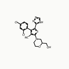 N#Cc1c(N2CCOC(CO)C2)sc(-c2nnc[nH]2)c1-c1ccc(Cl)cc1Cl